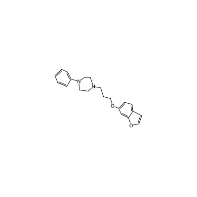 c1ccc(N2CCN(CCCOc3ccc4ccoc4c3)CC2)cc1